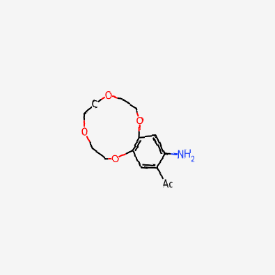 CC(=O)c1cc2c(cc1N)OCCOCCOCCO2